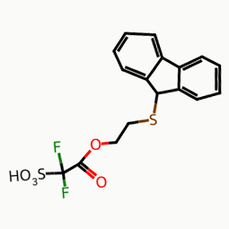 O=C(OCCSC1c2ccccc2-c2ccccc21)C(F)(F)S(=O)(=O)O